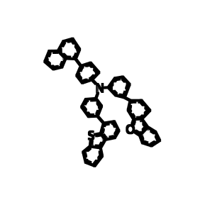 c1cc(-c2ccc3c(c2)oc2ccccc23)cc(N(c2ccc(-c3cccc4ccccc34)cc2)c2cccc(-c3cccc4c3sc3ccccc34)c2)c1